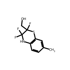 Cc1ccc2c(c1)SC(F)(CO)C(F)(F)N2